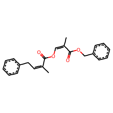 CC(=CCc1ccccc1)C(=O)OC=C(C)C(=O)OCc1ccccc1